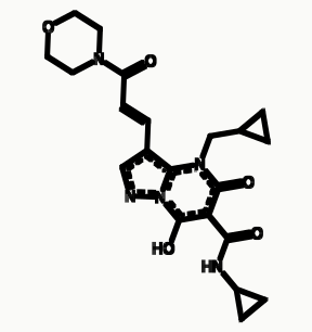 O=C(NC1CC1)c1c(O)n2ncc(C=CC(=O)N3CCOCC3)c2n(CC2CC2)c1=O